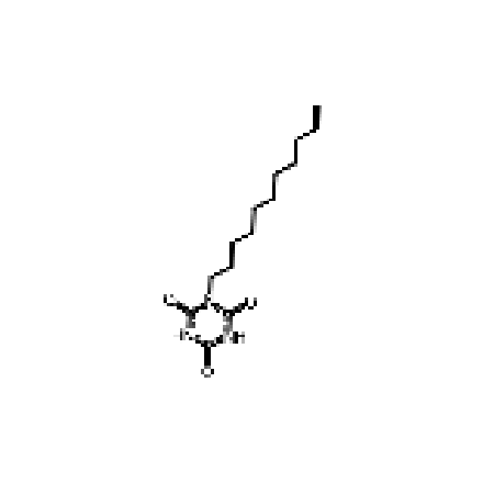 C=CCCCCCCCCCn1c(=O)[nH]c(=O)[nH]c1=O